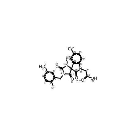 Cc1ccc(F)c(CN2C(=O)N(C)C3(C2=O)C(=O)N(CC(=O)O)c2ccc(Cl)cc23)c1